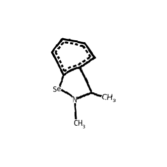 CC1c2ccccc2[Se]N1C